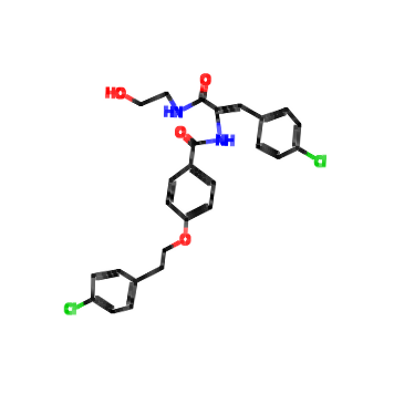 O=C(NCCO)/C(=C/c1ccc(Cl)cc1)NC(=O)c1ccc(OCCc2ccc(Cl)cc2)cc1